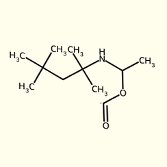 CC(NC(C)(C)CC(C)(C)C)O[C]=O